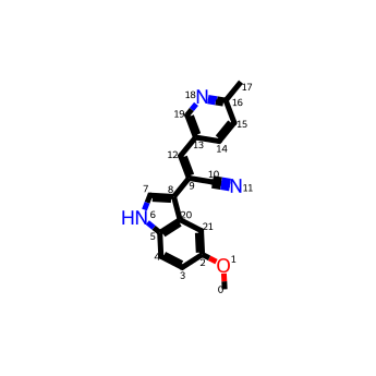 COc1ccc2[nH]cc(C(C#N)=Cc3ccc(C)nc3)c2c1